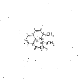 CC1C=Cc2cccc(P)c2N1P(C)C